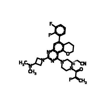 C=C(F)C(=O)N1CCN(c2nc(N3CC(N(C)C)C3)nc3cc(-c4cccc(F)c4F)c4c(c23)OCCC4)C[C@@H]1CC#N